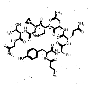 CC[C@H](C)[C@H](NC(=O)[C@H](Cc1ccc(O)cc1)NC(=O)CCC(C)=O)C(=O)N[C@@H](CCC(N)=O)C(=O)N[C@@H](CC(N)=O)C(=O)N[C@@H](CNC)C(=O)N(CC(=O)N[C@H](C(=O)NCC(N)=O)[C@@H](C)O)C1CC1